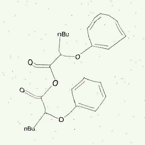 CCCCC(Oc1ccccc1)C(=O)OC(=O)C(CCCC)Oc1ccccc1